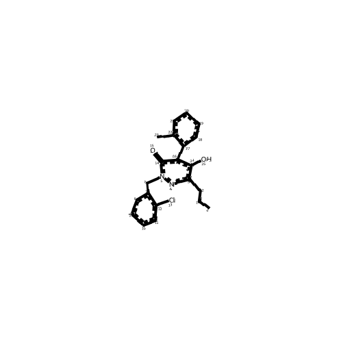 CCCc1nn(Cc2ccccc2Cl)c(=O)c(-c2ccccc2C)c1O